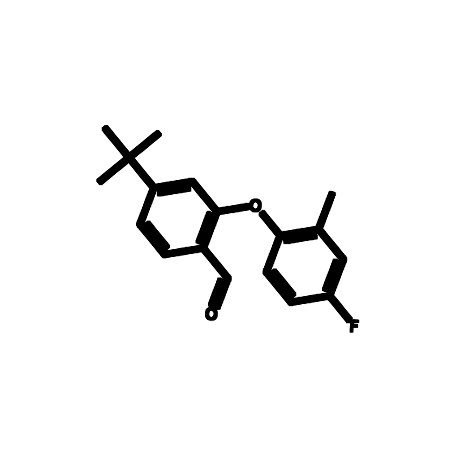 Cc1cc(F)ccc1Oc1cc(C(C)(C)C)ccc1C=O